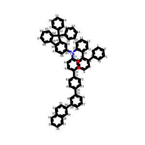 c1ccc(-c2ccccc2-c2ccccc2N(c2ccc(-c3ccc(-c4cccc(-c5ccc6ccccc6c5)c4)cc3)cc2)c2ccc3c(c2)C(c2ccccc2)(c2ccccc2)c2ccccc2-3)cc1